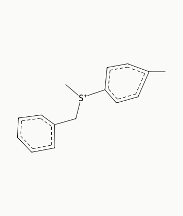 Cc1ccc([S+](C)Cc2ccccc2)cc1